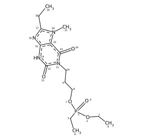 CCOP(=O)(CC)OCCCn1c(=O)[nH]c2nc(CC)n(C)c2c1=O